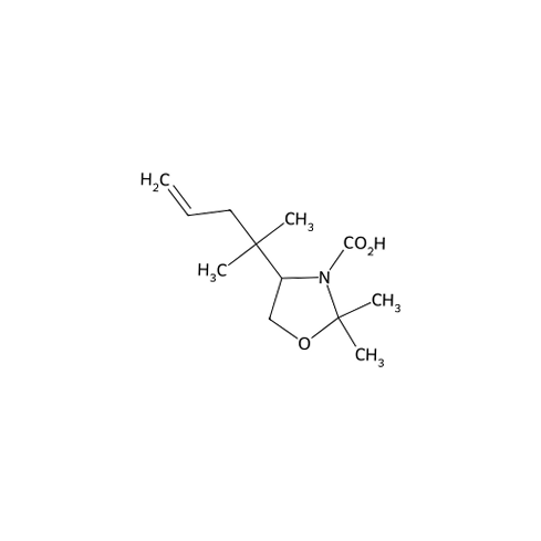 C=CCC(C)(C)C1COC(C)(C)N1C(=O)O